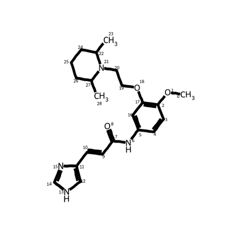 COc1ccc(NC(=O)C=Cc2c[nH]cn2)cc1OCCN1C(C)CCCC1C